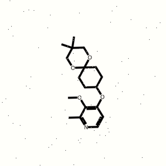 COc1c(OC2CCC3(CC2)OCC(C)(C)CO3)ccnc1C